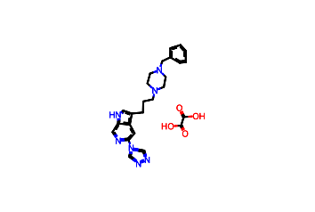 O=C(O)C(=O)O.c1ccc(CN2CCN(CCCc3c[nH]c4cnc(-n5cnnc5)cc34)CC2)cc1